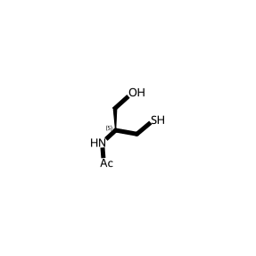 CC(=O)N[C@@H](CO)CS